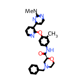 CNc1nccc(-c2cccnc2Oc2ccc(NC(=O)[C@@H]3CN(Cc4ccccc4)CCO3)cc2C)n1